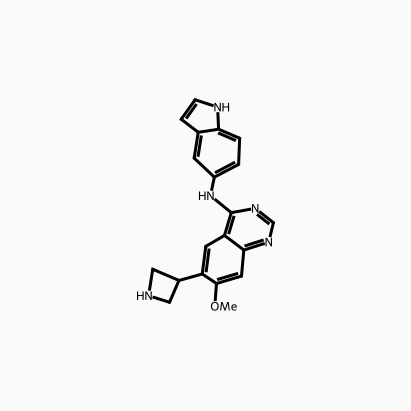 COc1cc2ncnc(Nc3ccc4[nH]ccc4c3)c2cc1C1CNC1